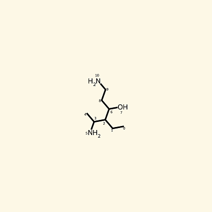 CCC(C(C)N)C(O)CCN